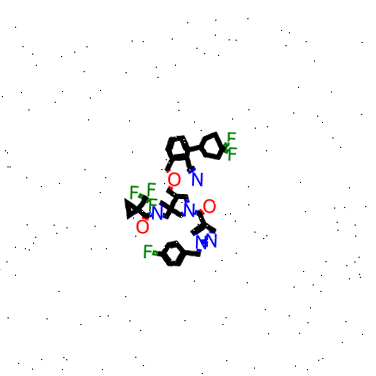 N#Cc1c(COCC2CN(C(=O)c3cnn(Cc4ccc(F)cc4)c3)CC23CN(C(=O)C2(C(F)(F)F)CC2)C3)cccc1C1CCC(F)(F)CC1